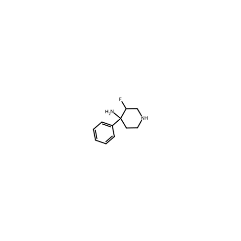 NC1(c2ccccc2)CCNCC1F